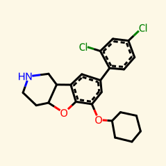 Clc1ccc(-c2cc(OC3CCCCC3)c3c(c2)C2CNCCC2O3)c(Cl)c1